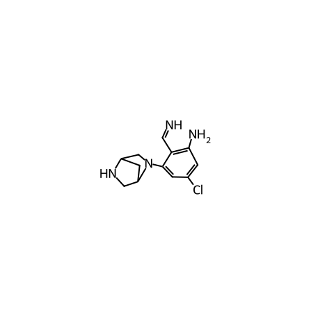 N=Cc1c(N)cc(Cl)cc1N1CC2CC1CN2